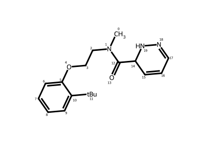 CN(CCOc1ccccc1C(C)(C)C)C(=O)C1C=CC=NN1